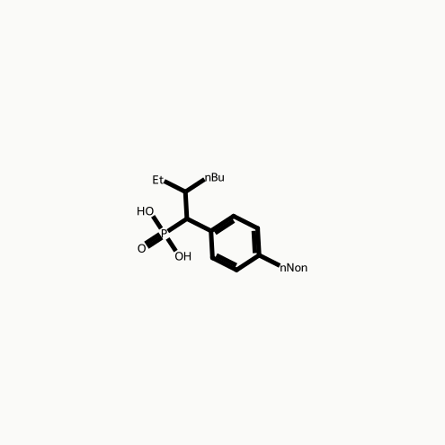 CCCCCCCCCc1ccc(C(C(CC)CCCC)P(=O)(O)O)cc1